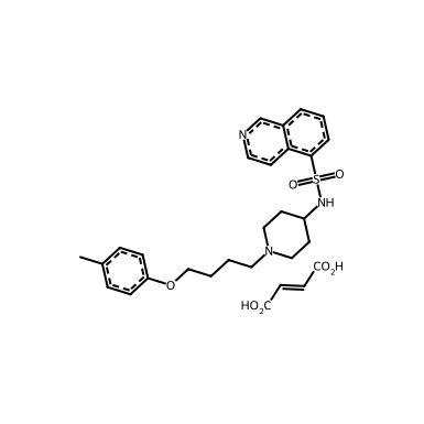 Cc1ccc(OCCCCN2CCC(NS(=O)(=O)c3cccc4cnccc34)CC2)cc1.O=C(O)C=CC(=O)O